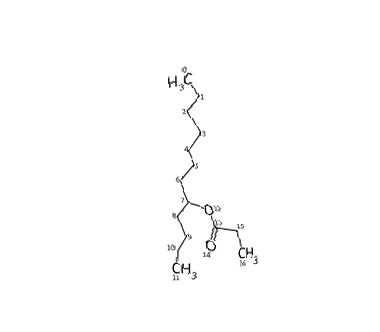 CCCCCCCC(CCCC)OC(=O)CC